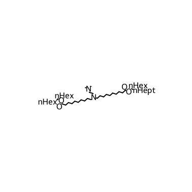 CCCCCCCC(CCCCCC)OC(=O)CCCCCCCCCN(CCCCCCCCCC(=O)OC(CCCCCC)CCCCCC)CCN(C)C